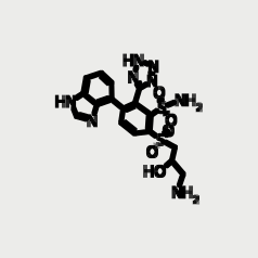 NCC(O)CS(=O)(=O)c1ccc(-c2cccc3[nH]cnc23)c(-c2nn[nH]n2)c1S(N)(=O)=O